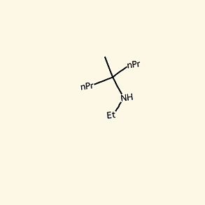 CCCC(C)(CCC)NCC